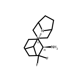 CC(C)N1CC2CCC(C1)N2[C@H]1CCCC(F)(F)[C@@H]1N